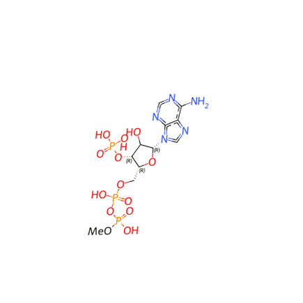 COP(=O)(O)OP(=O)(O)OC[C@H]1O[C@@H](n2cnc3c(N)ncnc32)C(O)[C@H]1OP(=O)(O)O